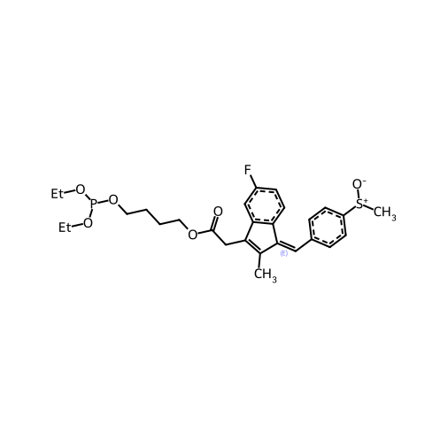 CCOP(OCC)OCCCCOC(=O)CC1=C(C)/C(=C/c2ccc([S+](C)[O-])cc2)c2ccc(F)cc21